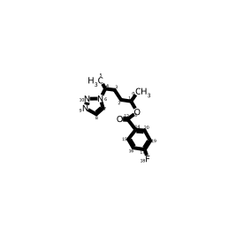 CC(CCC(C)n1ccnn1)OC(=O)c1ccc(F)cc1